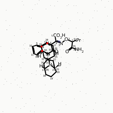 CC(C)C(O/N=C(\C(=O)O)c1nc2ccccc2n([C@H]2C[C@H]3CCC[C@@H](C2)N3C2C[C@H]3CCC[C@@H](C2)C3)c1=O)C(N)=O